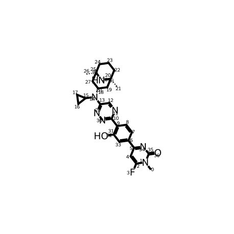 Cn1c(F)cc(-c2ccc(-c3ncc(N(C4CC4)[C@H]4C[C@]5(C)CCC[C@](C)(C4)N5)nn3)c(O)c2)nc1=O